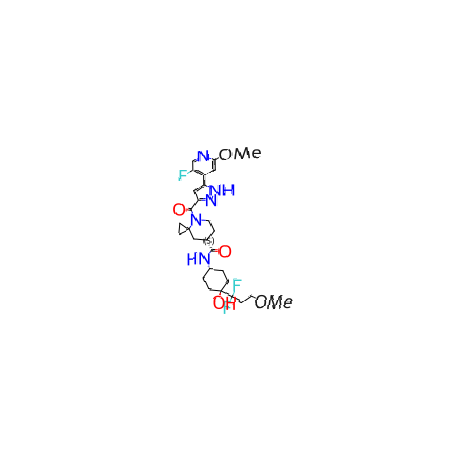 COCCC(F)(F)[C@]1(O)CC[C@H](NC(=O)[C@H]2CCN(C(=O)c3cc(-c4cc(OC)ncc4F)[nH]n3)C3(CC3)C2)CC1